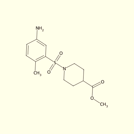 COC(=O)C1CCN(S(=O)(=O)c2cc(N)ccc2C)CC1